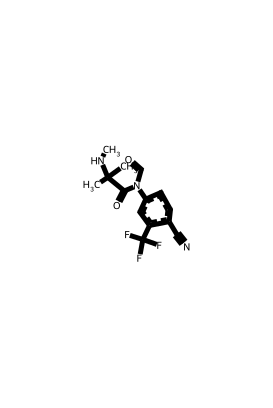 CNC(C)(C)C(=O)N(C=O)c1ccc(C#N)c(C(F)(F)F)c1